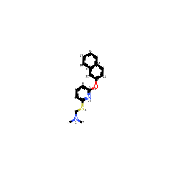 CN(C)CSc1cccc(Oc2ccc3ccccc3c2)n1